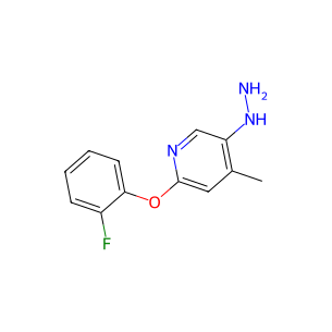 Cc1cc(Oc2ccccc2F)ncc1NN